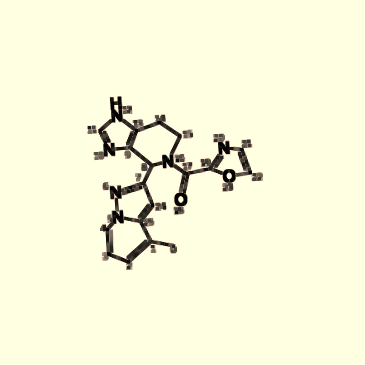 Cc1cccn2nc(C3c4nc[nH]c4CCN3C(=O)c3ncco3)cc12